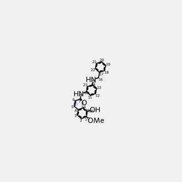 COc1ccc(/C=C\C(=O)Nc2cccc(NCc3ccccc3)c2)cc1O